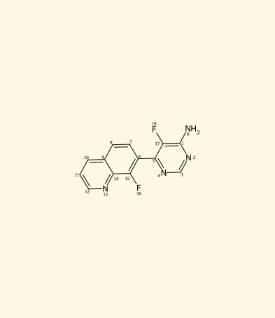 Nc1ncnc(-c2ccc3cccnc3c2F)c1F